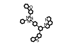 c1ccc(-c2nc(-c3ccc(-c4cc(-c5ccc6sc7ccccc7c6c5)cc(-c5ccc6ccc7cccnc7c6n5)c4)cc3)nc(-c3ccc4oc5ccccc5c4c3)n2)cc1